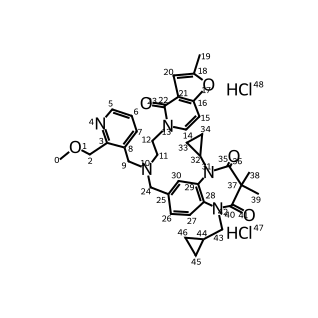 COCc1ncccc1CN(CCn1ccc2oc(C)cc2c1=O)Cc1ccc2c(c1)N(C1CC1)C(=O)C(C)(C)C(=O)N2CC1CC1.Cl.Cl